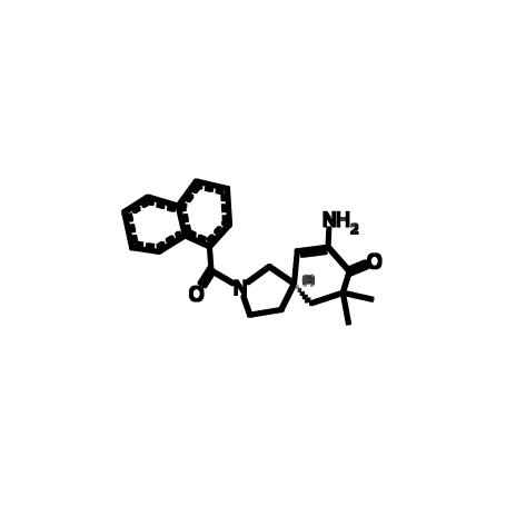 CC1(C)C[C@]2(C=C(N)C1=O)CCN(C(=O)c1cccc3ccccc13)C2